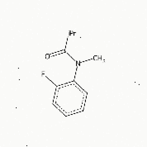 CC(C)C(=O)N(C)c1ccccc1F